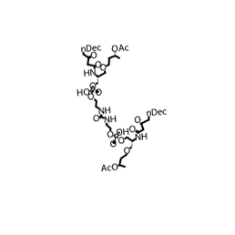 CCCCCCCCCCCC(=O)CC(=O)N[C@H](COCC[C@@H](C)OC(C)=O)COP(=O)(O)OCCNC(=O)NCCOP(=O)(O)OC[C@@H](COCC[C@@H](C)OC(C)=O)NC(=O)CC(=O)CCCCCCCCCCC